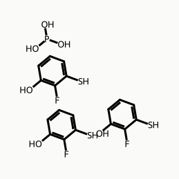 OP(O)O.Oc1cccc(S)c1F.Oc1cccc(S)c1F.Oc1cccc(S)c1F